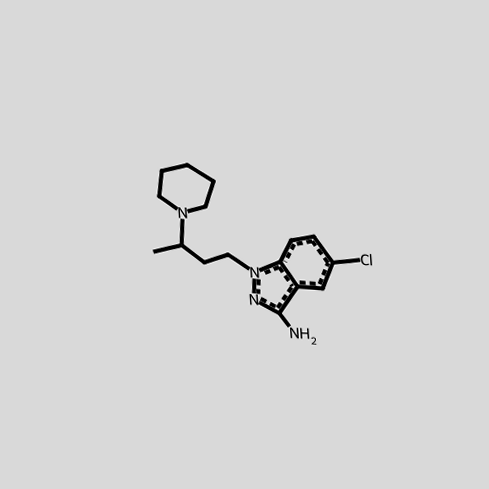 CC(CCn1nc(N)c2cc(Cl)ccc21)N1CCCCC1